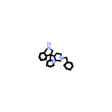 c1ccc(CN2CCC(C3(c4ccccn4)CNCc4ccccc43)CC2)cc1